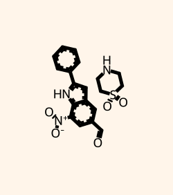 O=Cc1cc([N+](=O)[O-])c2[nH]c(-c3ccccc3)cc2c1.O=S1(=O)CCNCC1